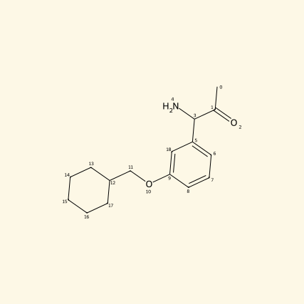 CC(=O)C(N)c1cccc(OCC2CCCCC2)c1